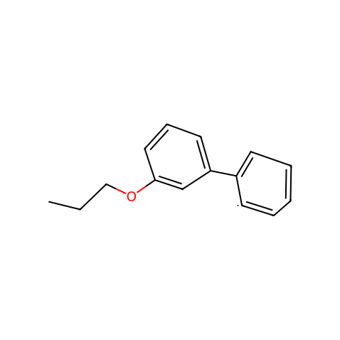 CCCOc1cccc(-c2[c]cccc2)c1